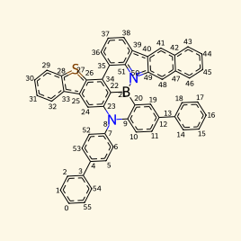 c1ccc(-c2ccc(N3c4ccc(-c5ccccc5)cc4B4c5c3cc3c(sc6ccccc63)c5-c3cccc5c6cc7ccccc7cc6n4c35)cc2)cc1